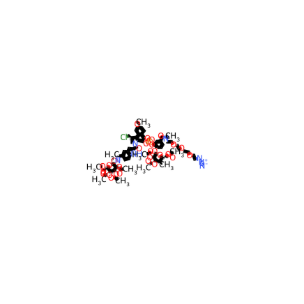 COC(=O)[C@H]1O[C@@H](O/N=C(\C)c2ccc3[nH]c(C(=O)N4C[C@@H](CCl)c5c4cc(OS(=O)(=O)Oc4cc(C(=O)N(C)CCOCCOCCOCCN=[N+]=[N-])ccc4O[C@@H]4O[C@H](COC(C)=O)[C@@H](C)[C@H](OC(C)=O)[C@H]4OC(C)=O)c4ccc(OC)cc54)cc3c2)[C@H](OC(C)=O)[C@@H](OC(C)=O)[C@@H]1OC(C)=O